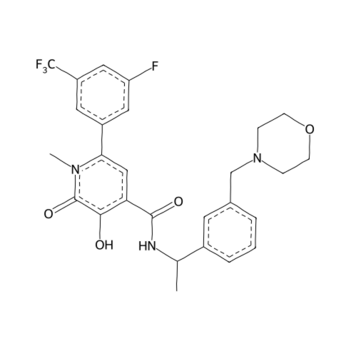 CC(NC(=O)c1cc(-c2cc(F)cc(C(F)(F)F)c2)n(C)c(=O)c1O)c1cccc(CN2CCOCC2)c1